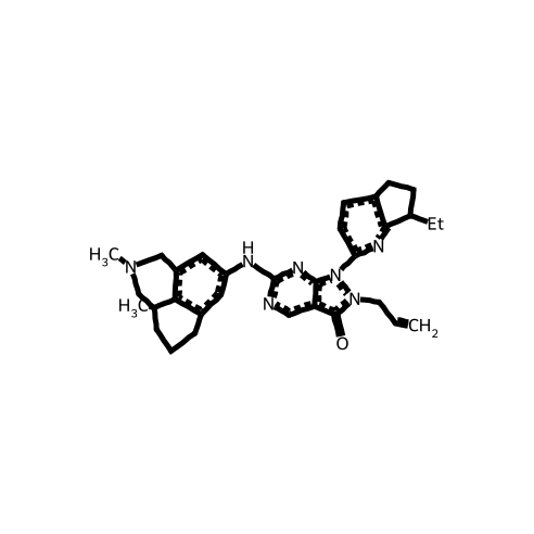 C=CCn1c(=O)c2cnc(Nc3cc4c5c(c3)CN(C)CC5(C)CCC4)nc2n1-c1ccc2c(n1)C(CC)CC2